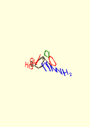 NNC(=O)c1ccc(B(O)O)cc1Cl